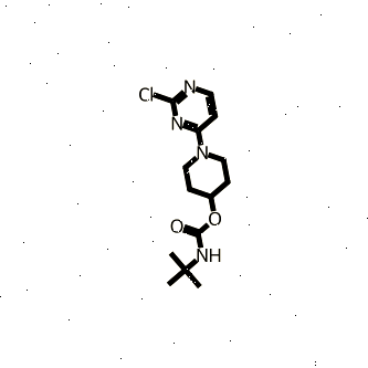 CC(C)(C)NC(=O)OC1CCN(c2ccnc(Cl)n2)CC1